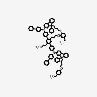 C=Cc1ccc(OCCCCC2(c3ccccc3)c3ccccc3-c3ccc(N(c4ccc(-c5ccccc5)cc4)c4ccc(-c5cc(CCCC)c(-c6ccc(N(c7ccc(-c8ccccc8)cc7)c7ccc8c(c7)C(CCCCOc7ccc(C=C)cc7)(c7ccccc7)c7ccccc7-8)cc6)cc5CCCC)cc4)cc32)cc1